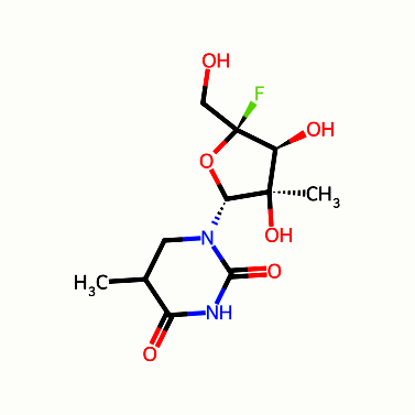 CC1CN([C@@H]2O[C@](F)(CO)[C@@H](O)[C@@]2(C)O)C(=O)NC1=O